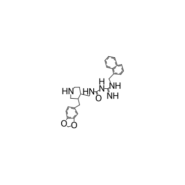 N=C(NCc1cccc2ccccc12)NC(=O)NCC1CCNCC1Cc1ccc2c(c1)OCO2